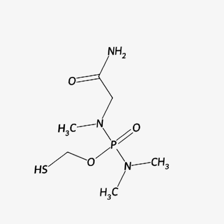 CN(C)P(=O)(OCS)N(C)CC(N)=O